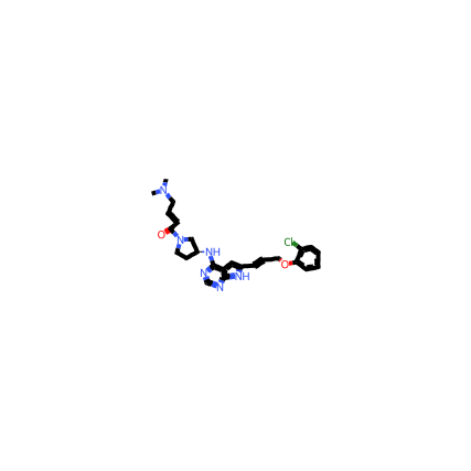 CN(C)CC=CC(=O)N1CC[C@@H](Nc2ncnc3[nH]c(C#CCOc4ccccc4Cl)cc23)C1